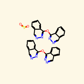 O=S=O.c1ccc2c(Oc3nncc4ccccc34)nncc2c1.c1ccc2c(Oc3nncc4ccccc34)nncc2c1